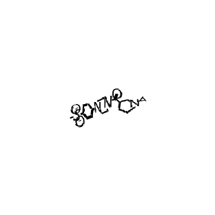 CS(=O)(=O)c1ccc(N2CCN(C(=O)C3CCCN(C4CC4)C3)CC2)cc1